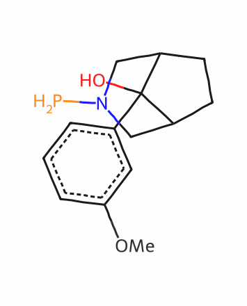 COc1cccc(C2(O)C3CCC2CN(P)C3)c1